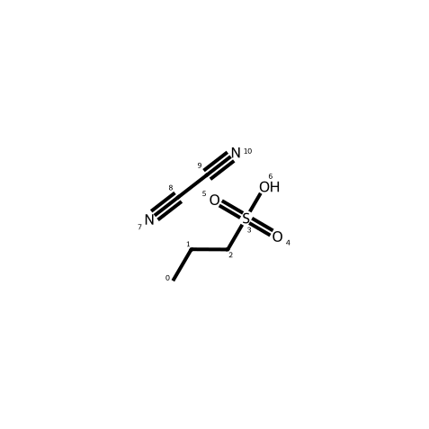 CCCS(=O)(=O)O.N#CC#N